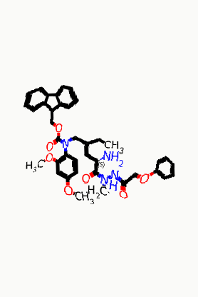 [CH2]N(NC(=O)COc1ccccc1)C(=O)[C@@H](N)CC(CC)CN(C(=O)OCC1c2ccccc2-c2ccccc21)c1ccc(OC)cc1OC